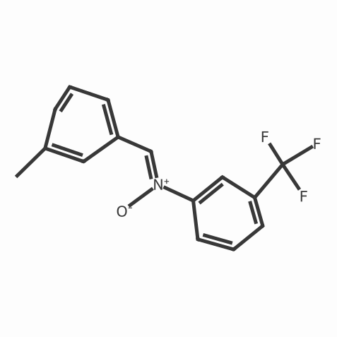 Cc1cccc(C=[N+]([O-])c2cccc(C(F)(F)F)c2)c1